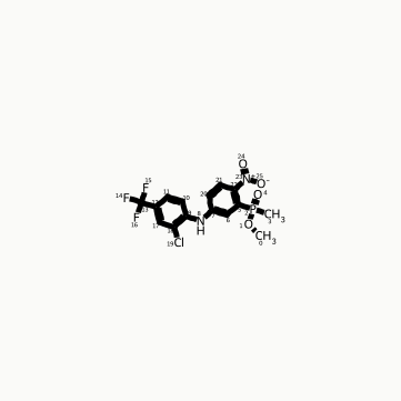 COP(C)(=O)c1cc(Nc2ccc(C(F)(F)F)cc2Cl)ccc1[N+](=O)[O-]